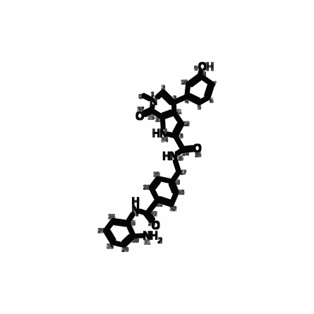 Cn1cc(-c2cccc(O)c2)c2cc(C(=O)NCc3ccc(C(=O)Nc4ccccc4N)cc3)[nH]c2c1=O